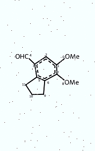 COc1cc(C=O)c2c(c1OC)CCC2